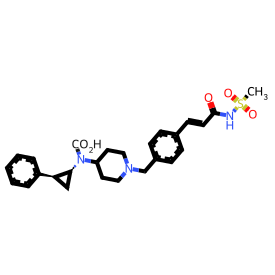 CS(=O)(=O)NC(=O)C=Cc1ccc(CN2CCC(N(C(=O)O)[C@@H]3C[C@H]3c3ccccc3)CC2)cc1